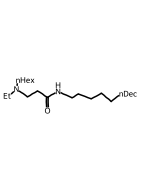 CCCCCCCCCCCCCCCNC(=O)CCN(CC)CCCCCC